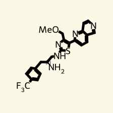 COCc1nc(NC[C@H](N)Cc2ccc(C(F)(F)F)cc2)sc1-c1ccc2cnccc2n1